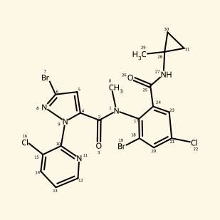 CN(C(=O)c1cc(Br)nn1-c1ncccc1Cl)c1c(Br)cc(Cl)cc1C(=O)NC1(C)CC1